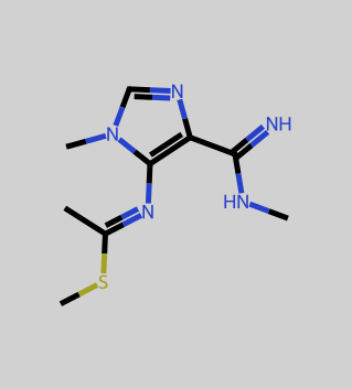 CNC(=N)c1ncn(C)c1/N=C(\C)SC